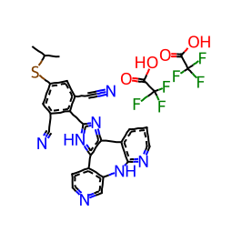 CC(C)Sc1cc(C#N)c(-c2nc3c([nH]2)-c2ccncc2Nc2ncccc2-3)c(C#N)c1.O=C(O)C(F)(F)F.O=C(O)C(F)(F)F